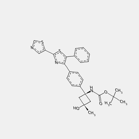 CC(C)(C)OC(=O)N[C@]1(c2ccc(-c3nc(-c4cncs4)sc3-c3ccccc3)cc2)C[C@@](C)(O)C1